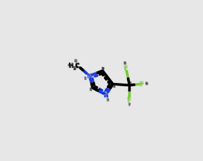 [CH2]n1cnc(C(F)(F)F)c1